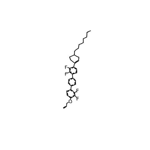 C=CCOc1ccc(-c2ccc(-c3ccc(C4=CCC(CCCCCCCC)CC4)c(F)c3F)cc2)c(F)c1F